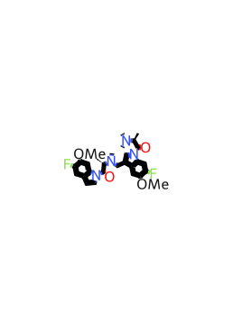 COc1cc2c(CN(C)[C@@H](C)C(=O)n3ccc4cc(F)c(OC)cc43)cn(C(=O)[C@H](C)N(C)C)c2cc1F